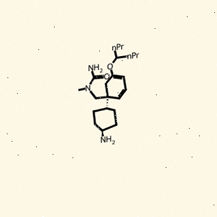 CCCC(CCC)OC1=CC=CC(CN(C)C(N)=O)([C@H]2CC[C@H](N)CC2)C1